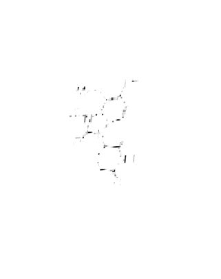 COC1=C(C(C)C)C=CC2C1N(C)C(=O)N2C1CCC(=O)NC1=O